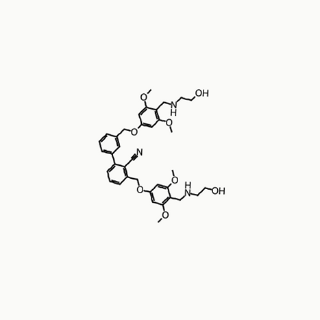 COc1cc(OCc2cccc(-c3cccc(COc4cc(OC)c(CNCCO)c(OC)c4)c3C#N)c2)cc(OC)c1CNCCO